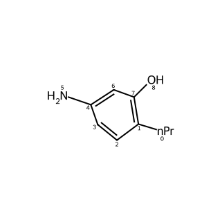 CCCc1ccc(N)cc1O